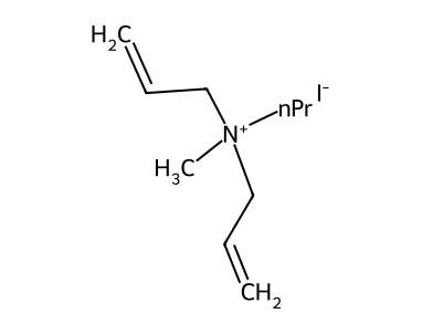 C=CC[N+](C)(CC=C)CCC.[I-]